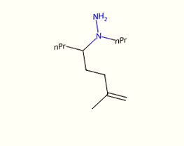 C=C(C)CCC(CCC)N(N)CCC